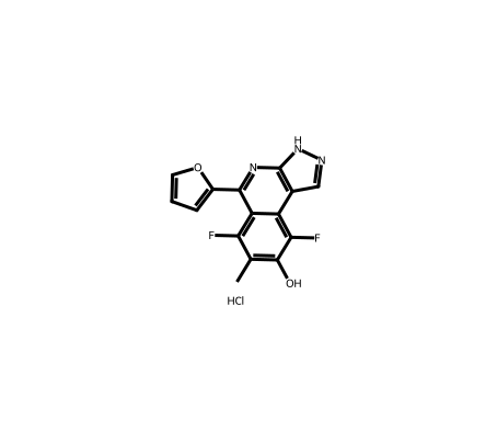 Cc1c(O)c(F)c2c(c(-c3ccco3)nc3[nH]ncc32)c1F.Cl